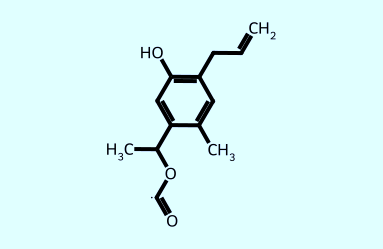 C=CCc1cc(C)c(C(C)O[C]=O)cc1O